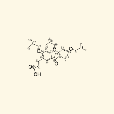 CC(C)COc1ccc(C(=O)c2ccc(OCC(C)C)c(C=CC(=O)O)c2)c(OCC(C)C)c1